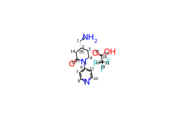 NC[C@@H]1CCN(c2ccncc2)C(=O)C1.O=C(O)C(F)(F)F